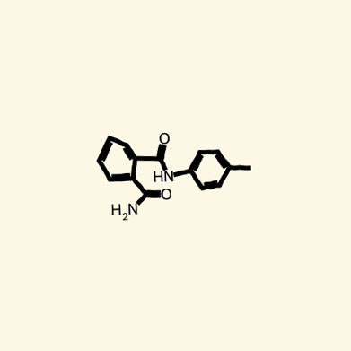 Cc1ccc(NC(=O)c2ccccc2C(N)=O)cc1